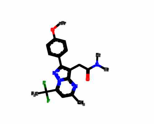 CCCOc1ccc(-c2nn3c(C(F)(F)C(F)(F)F)cc(C)nc3c2CC(=O)N(CC)CC)cc1